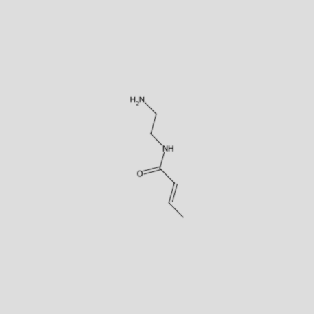 CC=CC(=O)NCCN